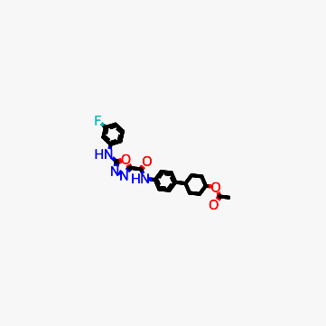 CC(=O)OC1CCC(c2ccc(NC(=O)c3nnc(Nc4cccc(F)c4)o3)cc2)CC1